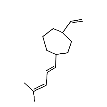 C=CC1CCCC(C=CC=C(C)C)CC1